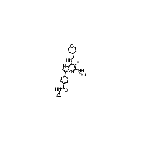 CC(C)(C)Nc1nn2c(-c3ccc(C(=O)NC4CC4)cc3)cnc2c(NCC2CCOCC2)c1F